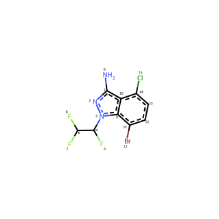 Nc1nn(C(F)C(F)F)c2c(Br)ccc(Cl)c12